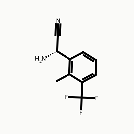 Cc1c([C@H](N)C#N)cccc1C(F)(F)F